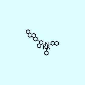 c1ccc(-c2nc(-c3ccc4ccccc4c3)nc(-c3ccc(-c4ccc5c(ccc6c7ccccc7ccc56)c4)c4ccccc34)n2)cc1